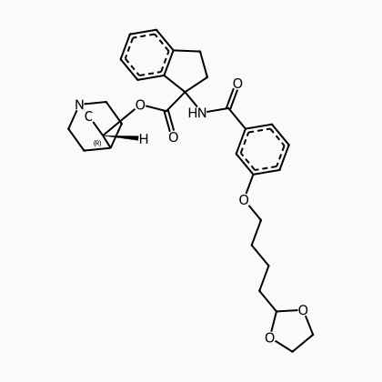 O=C(NC1(C(=O)O[C@H]2CN3CCC2CC3)CCc2ccccc21)c1cccc(OCCCCC2OCCO2)c1